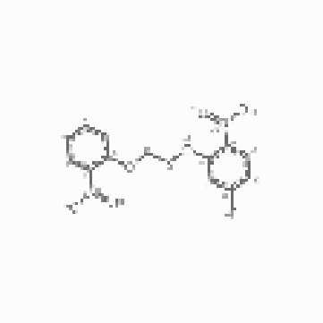 O=[N+]([O-])c1ccccc1OCCOc1cc(F)ccc1[N+](=O)[O-]